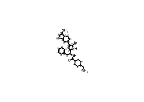 NCC1CCC(C(=O)NC(Cc2ccccc2)c2nc(-c3ccc4c(N)n[nH]c4c3)c(Br)[nH]2)CC1